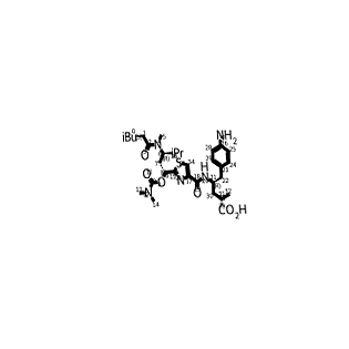 CC[C@H](C)CC(=O)N(C)[C@H](C[C@@H](OC(=O)N(C)C)c1nc(C(=O)N[C@@H](Cc2ccc(N)cc2)C[C@H](C)C(=O)O)cs1)C(C)C